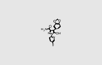 NC(=O)c1nn(-c2ccc(F)cn2)c(O)c1-c1ccc2c(c1)OCO2